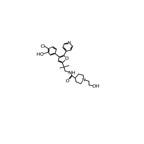 CC(C)(CNC(=O)C1CCN(CCO)CC1)c1cc(-c2ccc(Cl)c(O)c2)c(-c2ccncc2)o1